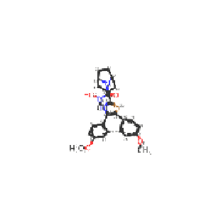 COc1ccc(-c2nc(C3CC4CCC(C3)N4C(=O)N(C)O)sc2-c2ccc(OC)cc2)cc1